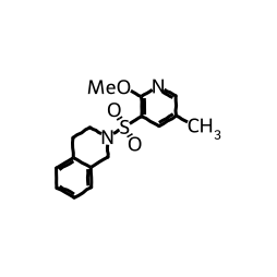 COc1ncc(C)cc1S(=O)(=O)N1CCc2ccccc2C1